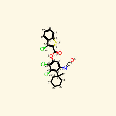 CC1(c2c(N=C=O)cc(OC(=O)c3sc4ccccc4c3Cl)c(Cl)c2Cl)CCCCC1